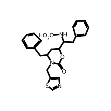 O=C(O)NC(Cc1ccccc1)C1CC(Cc2ccccc2)N(Cc2cncs2)C(=O)O1